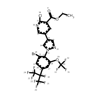 CCOC(=O)c1cc(-c2cnn(-c3c(Br)cc(C(F)(C(F)(F)F)C(F)(F)F)cc3OC(F)(F)F)c2)cnc1Cl